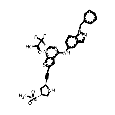 CS(=O)(=O)O[C@H]1CN[C@H](C#Cc2cc3c(Nc4ccc5c(cnn5Cc5ccccc5)c4)ncnc3s2)C1.O=C(O)C(F)(F)F